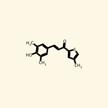 Cc1csc(C(=O)C=Cc2cc(C)c(O)c(C)c2)c1